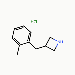 Cc1ccccc1CC1CNC1.Cl